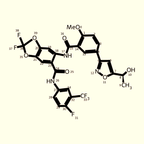 COc1ccc(-c2cc([C@H](C)O)on2)cc1C(=O)Nc1cc2c(cc1C(=O)Nc1ccc(F)c(C(F)(F)F)c1)OC(F)(F)O2